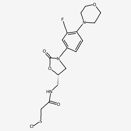 O=C(CSCl)NC[C@H]1CN(c2ccc(N3CCOCC3)c(F)c2)C(=O)O1